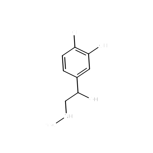 CCCCNCC(O)c1ccc(Cl)c(O)c1